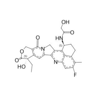 CC[C@@]1(O)C(=O)OCc2c1cc1n(c2=O)Cc2c-1nc1cc(F)c(C)c3c1c2[C@@H](NC(=O)CO)CC3